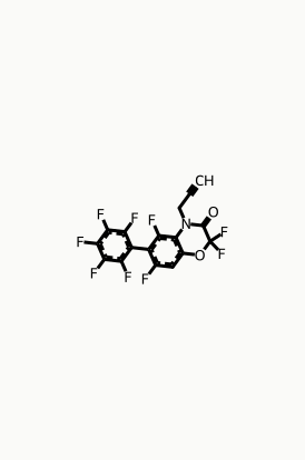 C#CCN1C(=O)C(F)(F)Oc2cc(F)c(-c3c(F)c(F)c(F)c(F)c3F)c(F)c21